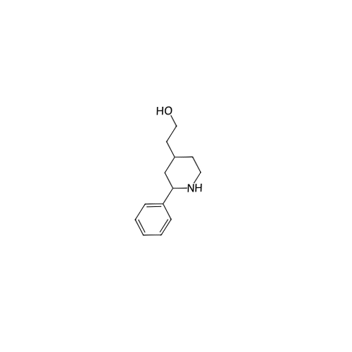 OCCC1CCNC(c2ccccc2)C1